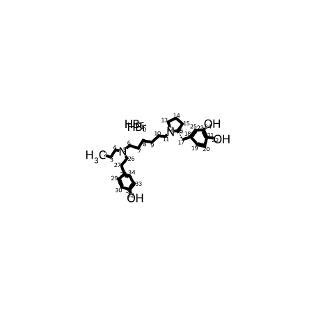 Br.Br.CCCN(CCCCCCN1CCC[C@@H]1Cc1ccc(O)c(O)c1)CCc1ccc(O)cc1